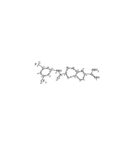 N=C(N)c1ccc2cc(C(=O)Nc3cc(C(F)(F)F)cc(C(F)(F)F)c3)ccc2n1